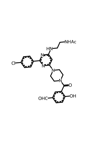 CC(=O)NCCNc1cc(N2CCN(C(=O)c3cc(C=O)ccc3O)CC2)nc(-c2ccc(Cl)cc2)n1